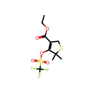 CCOC(=O)C1=C(OS(=O)(=O)C(F)(F)F)C(C)(C)SC1